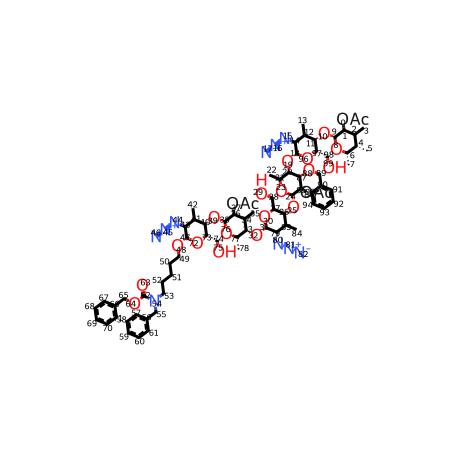 CC(=O)OC1C(C)[C@H](C)[C@H](C)O[C@H]1O[C@H]1C(C)C(N=[N+]=[N-])[C@@H](O[C@@H]2C(C)O[C@@H](O[C@@H]3C(CO)O[C@H](O[C@H]4C(C)C(OC(C)=O)[C@H](O[C@H]5C(C)C(N=[N+]=[N-])[C@@H](OCCCCCN(Cc6ccccc6)C(=O)OCc6ccccc6)O[C@H]5CO)O[C@H]4C)[C@@H](N=[N+]=[N-])C3C)C(OC(C)=O)[C@@H]2OCc2ccccc2)O[C@H]1CO